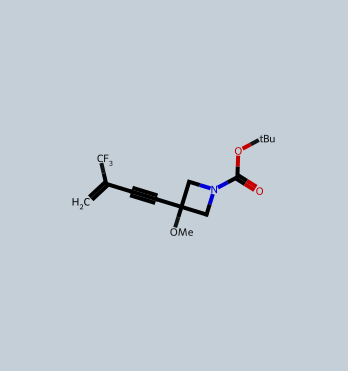 C=C(C#CC1(OC)CN(C(=O)OC(C)(C)C)C1)C(F)(F)F